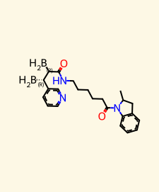 B[C@@H](C(=O)NCCCCCC(=O)N1c2ccccc2CC1C)[C@@H](B)c1cccnc1